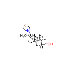 C[C@H](CN1CCSCC1)[C@H]1CCC2=C3CC[C@H]4C[C@@H](O)CC[C@]4(C)[C@H]3CC[C@@]21C